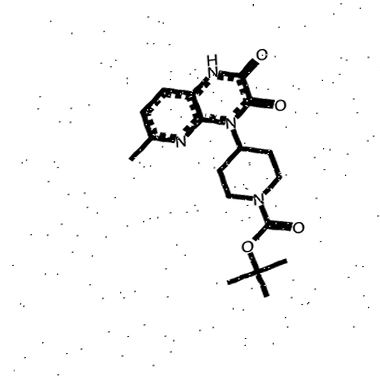 Cc1ccc2[nH]c(=O)c(=O)n(C3CCN(C(=O)OC(C)(C)C)CC3)c2n1